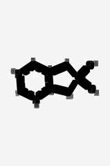 O=S1(=O)C=c2cncnc2=C1